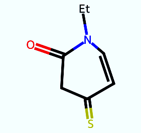 CCN1C=CC(=S)CC1=O